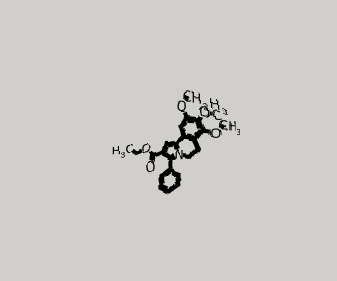 CCOC(=O)c1cc2n(c1-c1ccccc1)CCc1c-2cc(OC)c(OC)c1OC